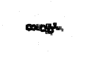 CC1CN(CC2(O)Cc3ccccc3C2)CCC1(C)c1cccc(C(N)=O)c1